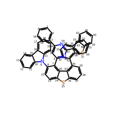 c1ccc(-c2cc(-c3c(-n4c5ccccc5c5ccccc54)ccc4sc5cccc(-c6cccc7c6sc6ccccc67)c5c34)nc(-c3ccccc3)n2)cc1